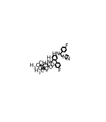 CSC(C[C@H](NC(=O)c1ccc(NC(Cn2ccnc2)c2ccc(F)cc2)cc1-c1ccc(F)cc1)C(=O)O)C(C)(C)C